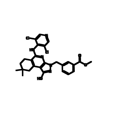 COC(=O)c1cccc(Cn2nc(O)c3c4c(c(Nc5c(Cl)cncc5Cl)nc32)CCC(C)(C)C4)c1